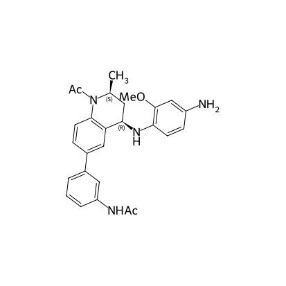 COc1cc(N)ccc1N[C@@H]1C[C@H](C)N(C(C)=O)c2ccc(-c3cccc(NC(C)=O)c3)cc21